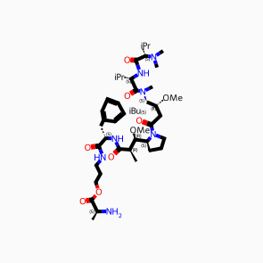 CC[C@H](C)[C@@H]([C@@H](CC(=O)N1CCC[C@H]1[C@H](OC)[C@@H](C)C(=O)N[C@@H](Cc1ccccc1)C(=O)NCCCOC(=O)[C@H](C)N)OC)N(C)C(=O)[C@@H](NC(=O)[C@H](C(C)C)N(C)C)C(C)C